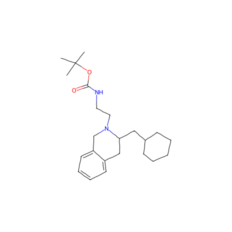 CC(C)(C)OC(=O)NCCN1Cc2ccccc2CC1CC1CCCCC1